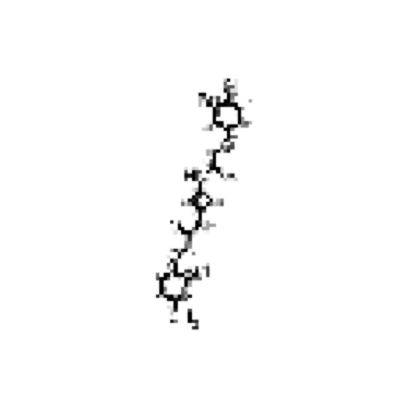 Cc1ccc(OCC(=O)NC23CC(NC(=O)COc4ccc(Cl)c(F)c4)(C2)C3)c(Cl)n1